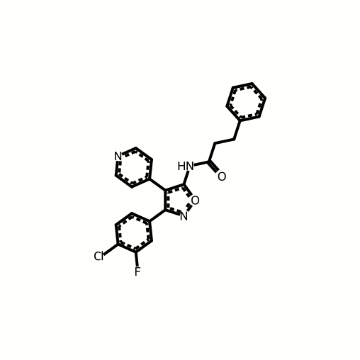 O=C(CCc1ccccc1)Nc1onc(-c2ccc(Cl)c(F)c2)c1-c1ccncc1